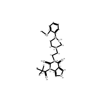 COc1ccccc1N1CCN(CCn2c(=O)c3cocc3n(C(=O)C(C)(C)C)c2=O)CC1